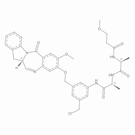 COCCC(=O)N[C@@H](C)C(=O)N[C@@H](C)C(=O)Nc1cc(CCl)cc(COc2cc3c(cc2OC)C(=O)N2c4ccccc4C[C@H]2C=N3)c1